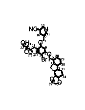 Cc1c(COc2cc(OCc3cncc(C#N)c3)c(CN[C@](C)(CO)C(=O)O)cc2Br)cccc1-c1ccc2c(c1)OCCO2